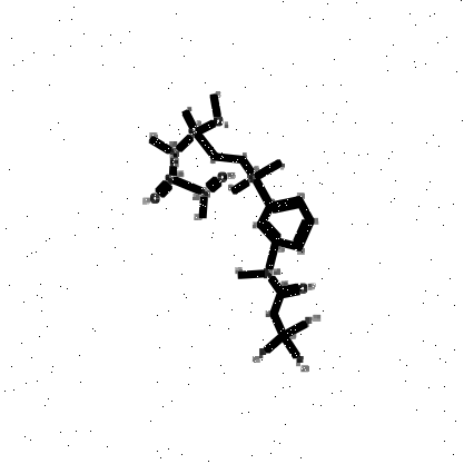 CO[Si](C)(CC[Si](C)(C)c1cccc(N(C)C(=O)CC(F)(F)F)c1)[SiH](C)[Si](=O)[Si](C)=O